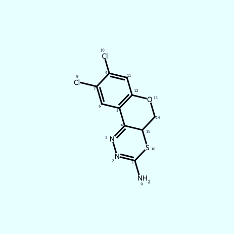 NC1=NN=C2c3cc(Cl)c(Cl)cc3OCC2S1